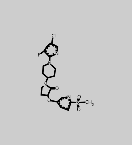 CS(=O)(=O)c1ccc(OC2CCN(C3CCN(c4ncc(Cl)cc4F)CC3)C2=O)cn1